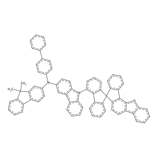 CC1(C)c2ccccc2-c2ccc(N(c3ccc(-c4ccccc4)cc3)c3ccc4c(c3)c3ccccc3n4-c3cccc4c3-c3ccccc3C43c4ccccc4-c4c3ccc3c4oc4ccccc43)cc21